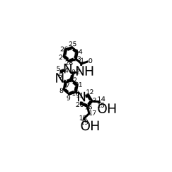 CC(Nc1ncnc2ccc(-n3cc(CO)c(CCO)c3)cc12)c1ccccc1